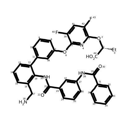 CC[C@@H](Oc1nc(Oc2cccc(-c3cccc(CN)c3NC(=O)c3cccc(NC(=O)c4ccccc4)c3)c2)c(F)cc1F)C(=O)O